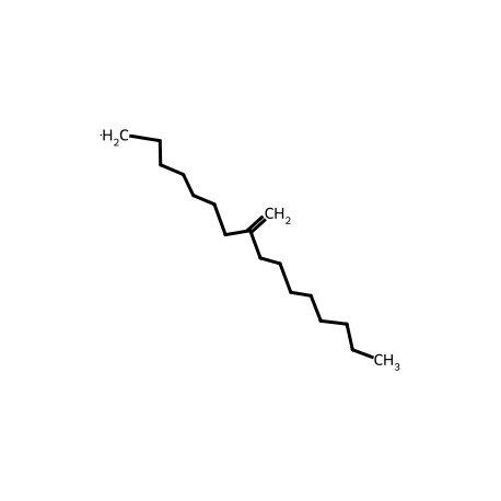 [CH2]CCCCCCC(=C)CCCCCCCC